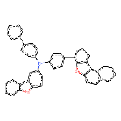 c1ccc(-c2ccc(N(c3ccc(-c4cccc5c4oc4ccc6ccccc6c45)cc3)c3ccc4oc5ccccc5c4c3)cc2)cc1